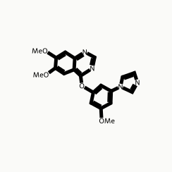 COc1cc(Oc2ncnc3cc(OC)c(OC)cc23)cc(-n2ccnc2)c1